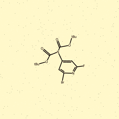 CC(C)(C)OC(=O)N(C(=O)OC(C)(C)C)c1cc(F)nc(Br)c1